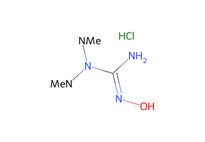 CNN(NC)/C(N)=N/O.Cl